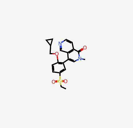 CCS(=O)(=O)c1ccc(OCC2CC2)c(-c2cn(C)c(=O)c3ccncc23)c1